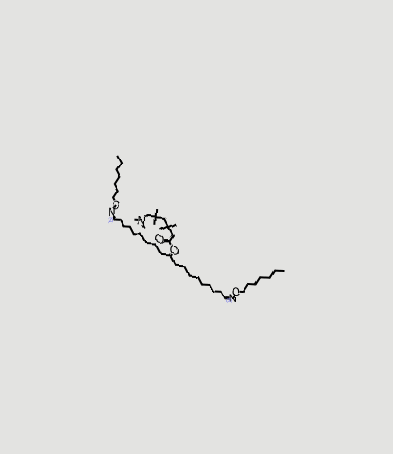 CCCCCCCO/N=C\CCCCCCCCC(CCCCCCCC/C=N\OCCCCCCC)OC(=O)CC(C)(C)CC(C)(C)CN(C)C